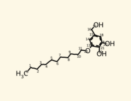 CCCCCCCCCCCCOc1cc(CO)cc(O)c1O